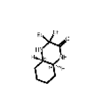 CCC1(CC)N[C@H]2CCCC[C@@H]2NC1=O